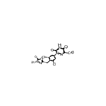 CC(C)n1nc(Cc2c(Cl)cc(-n3nc(C=O)c(=O)[nH]c3=O)cc2Cl)oc1=O